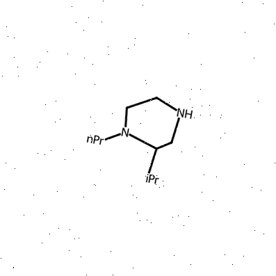 CCCN1CCNCC1C(C)C